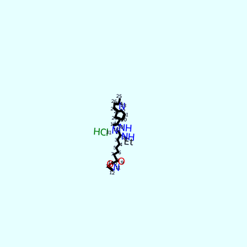 CCNC(CCCCCC(=O)c1ncco1)c1ncc(-c2ccc3nc(C)ccc3c2)[nH]1.Cl